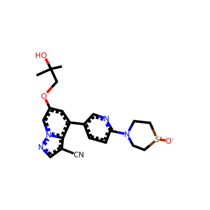 CC(C)(O)COc1cc(-c2ccc(N3CC[S+]([O-])CC3)nc2)c2c(C#N)cnn2c1